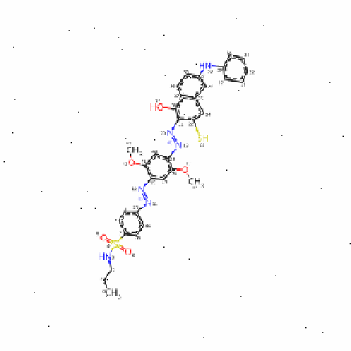 CCCNS(=O)(=O)c1ccc(/N=N/c2cc(OC)c(/N=N/c3c(S)cc4cc(Nc5ccccc5)ccc4c3O)cc2OC)cc1